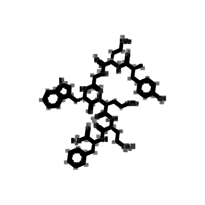 CSCC[C@H](NC(=O)[C@H](Cc1c[nH]c2ccccc12)NC(=O)CNC(=O)[C@H](CCSC)NC(=O)[C@@H](C)Cc1ccc(O)cc1)C(=O)N[C@@H](CCC(=O)O)C(=O)N[C@@H](Cc1ccccc1)C(N)=O